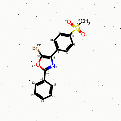 CS(=O)(=O)c1ccc(-c2nc(-c3ccccc3)oc2Br)cc1